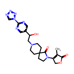 CC1=C(N2CCC3(CCN(CC(O)c4cnc(-n5cnnn5)nc4)CC3)C2=O)COC1=O